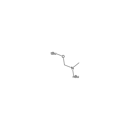 CCCCN(C)COC(C)(C)C